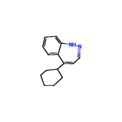 C1=NNc2ccccc2C(C2CCCCC2)=C1